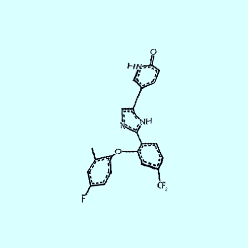 Cc1cc(F)ccc1Oc1cc(C(F)(F)F)ccc1-c1ncc(-c2ccc(=O)[nH]c2)[nH]1